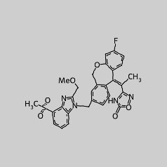 COCc1nc2c(S(C)(=O)=O)cccc2n1Cc1ccc2c(c1)COc1cc(F)ccc1/C2=C(\C)c1noc(=O)[nH]1